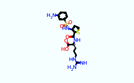 N=C(N)NCCC[C@H](NC(=O)c1sccc1NS(=O)(=O)c1cccc(N)c1)C(=O)O